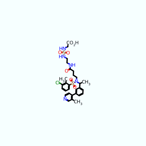 Cc1cnccc1-c1cccc(C(C)N(CCCC(=O)NCCNS(=O)(=O)NCC(=O)O)S(=O)(=O)c2cccc(Cl)c2C)c1